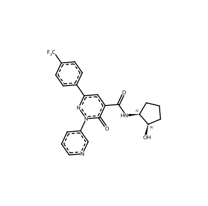 O=C(N[C@H]1CCC[C@H]1O)c1cc(-c2ccc(C(F)(F)F)cc2)nn(-c2cccnc2)c1=O